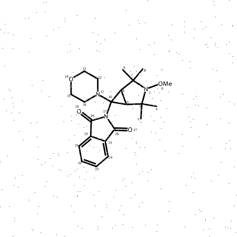 CON1C(C)(C)C2C(C1(C)C)C2(N1CCOCC1)N1C(=O)c2ccccc2C1=O